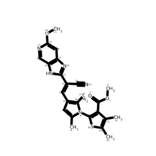 COC(=O)c1c(-n2c(C)cc(C=C(C#N)c3nc4cc(OC)ncc4[nH]3)c2C)sc(C)c1C